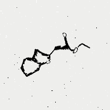 CCOC(=O)C=Cc1cc2ccccc2s1